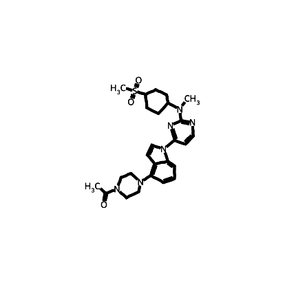 CC(=O)N1CCN(c2cccc3c2ccn3-c2ccnc(N(C)C3CCC(S(C)(=O)=O)CC3)n2)CC1